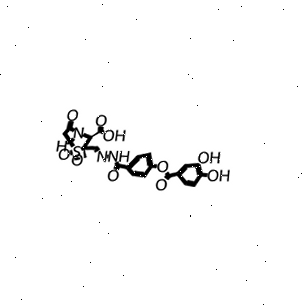 C[C@]1(/C=N/NC(=O)c2ccc(OC(=O)c3ccc(O)c(O)c3)cc2)[C@H](C(=O)O)N2C(=O)C[C@H]2S1(=O)=O